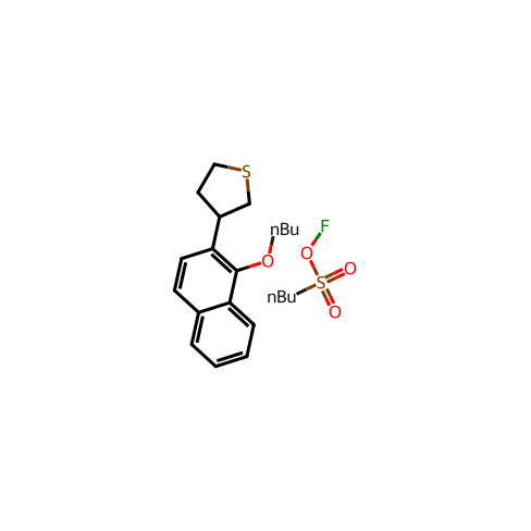 CCCCOc1c(C2CCSC2)ccc2ccccc12.CCCCS(=O)(=O)OF